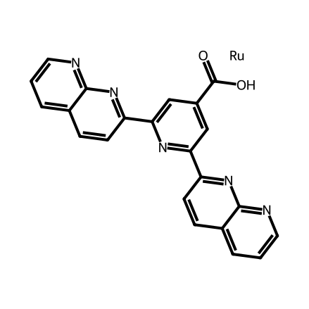 O=C(O)c1cc(-c2ccc3cccnc3n2)nc(-c2ccc3cccnc3n2)c1.[Ru]